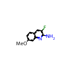 [CH2]Oc1ccc2cc(F)c(N)nc2c1